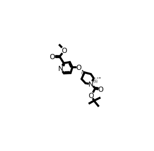 COC(=O)c1cc(O[C@H]2CCN(C(=O)OC(C)(C)C)[C@@H](C)C2)ccn1